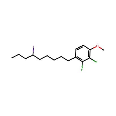 CCCC(I)CCCCCc1ccc(OC)c(F)c1F